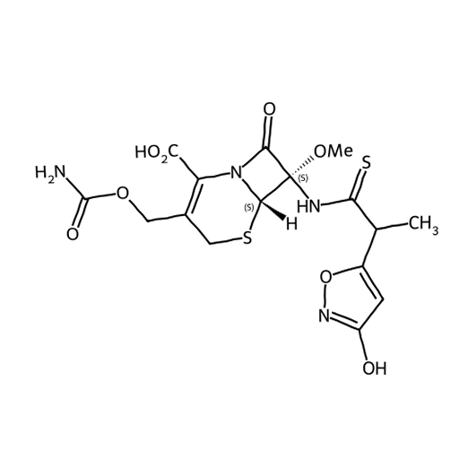 CO[C@@]1(NC(=S)C(C)c2cc(O)no2)C(=O)N2C(C(=O)O)=C(COC(N)=O)CS[C@H]21